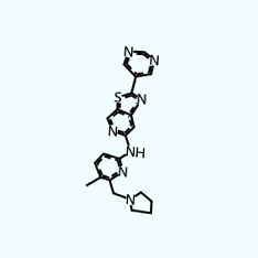 Cc1ccc(Nc2cc3nc(-c4cncnc4)sc3cn2)nc1CN1CCCC1